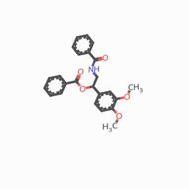 COc1ccc(C(CNC(=O)c2ccccc2)OC(=O)c2ccccc2)cc1OC